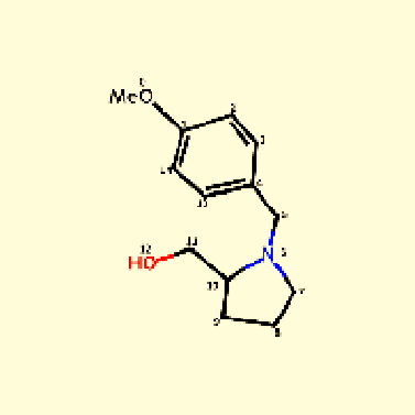 COc1ccc(CN2CCCC2CO)cc1